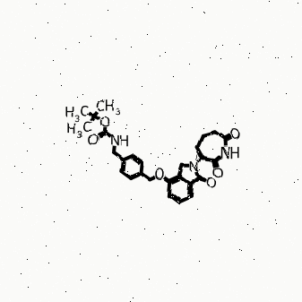 CC(C)(C)OC(=O)NCc1ccc(COc2cccc3c2CN([C@H]2CCCC(=O)NC2=O)C3=O)cc1